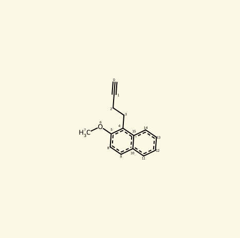 [C]#CCCc1c(OC)ccc2ccccc12